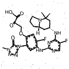 Cn1nnn(-c2cc(Nc3ncc(F)c(N[C@@H]4C[C@@H]5CCCN5C(C)(C)C4)n3)c(F)cc2OCC(=O)C(=O)O)c1=O